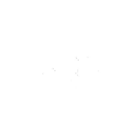 CN1C(=O)c2ccccc2C(C(=O)NCC2CCCO2)C1c1cn(C)c2ccccc12